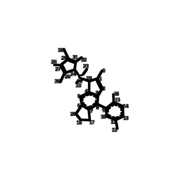 CC1=Cc2c(cc3c(c2-c2cc(C)ccc2C)CCC3)C1S(C)(C)C1C(C)=C(C)C(C)=C1C